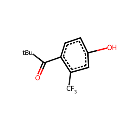 CC(C)(C)C(=O)c1ccc(O)cc1C(F)(F)F